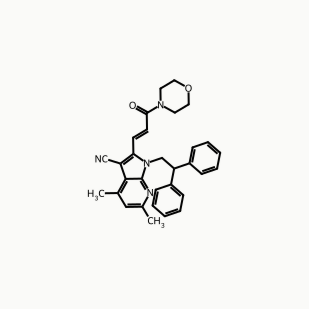 Cc1cc(C)c2c(C#N)c(C=CC(=O)N3CCOCC3)n(CC(c3ccccc3)c3ccccc3)c2n1